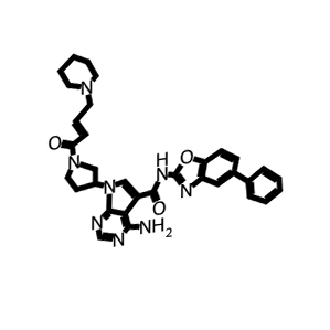 Nc1ncnc2c1c(C(=O)Nc1nc3cc(-c4ccccc4)ccc3o1)cn2C1CCN(C(=O)/C=C/CN2CCCCC2)C1